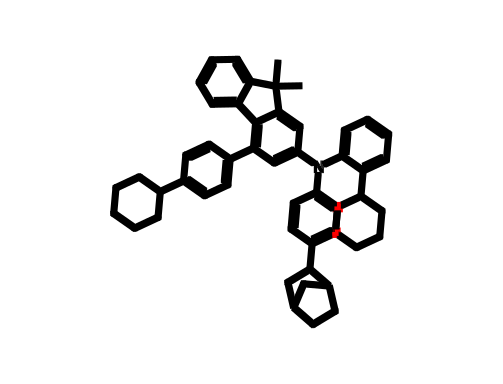 CC1(C)c2ccccc2-c2c(-c3ccc(C4CCCCC4)cc3)cc(N(c3ccc(C4CC5CCC4C5)cc3)c3ccccc3C3CCCCC3)cc21